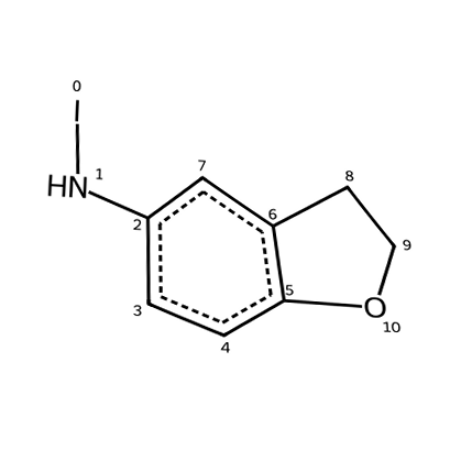 INc1ccc2c(c1)CCO2